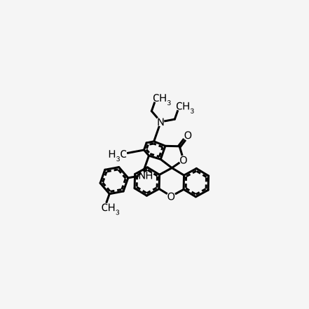 CCN(CC)c1cc(C)c(Nc2cccc(C)c2)c2c1C(=O)OC21c2ccccc2Oc2ccccc21